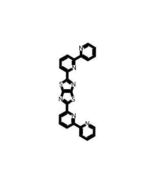 c1ccc(-c2cccc(-c3nc4sc(-c5cccc(-c6ccccn6)n5)nc4s3)n2)nc1